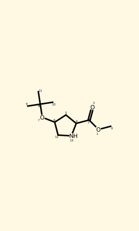 COC(=O)C1CC(OC(C)(C)C)CN1